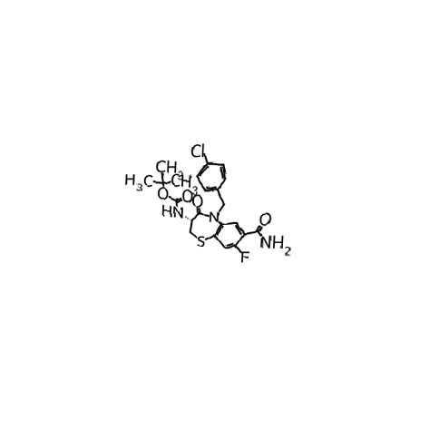 CC(C)(C)OC(=O)N[C@H]1CSc2cc(F)c(C(N)=O)cc2N(Cc2ccc(Cl)cc2)C1=O